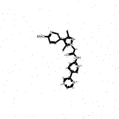 COC1=NCC(c2c(C)nn(CC(=O)Nc3ccc(-c4cnccn4)cn3)c2C)C=C1